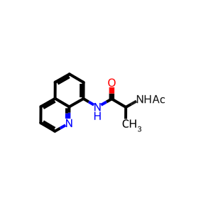 CC(=O)NC(C)C(=O)Nc1cccc2cccnc12